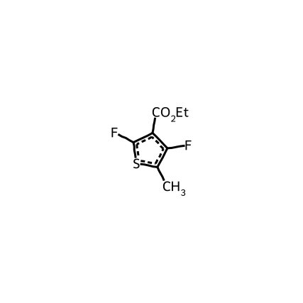 CCOC(=O)c1c(F)sc(C)c1F